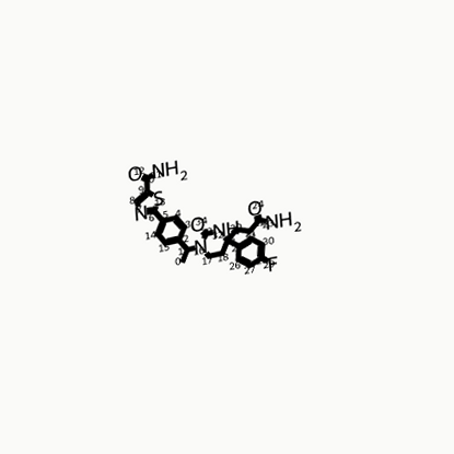 CC(c1ccc(-c2ncc(C(N)=O)s2)cc1)N1CCC(CCC(N)=O)(c2ccc(F)cc2)NC1=O